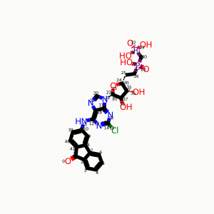 O=C1c2ccccc2-c2cc(Nc3nc(Cl)nc4c3ncn4[C@@H]3O[C@H](CCP(=O)(O)CP(=O)(O)O)[C@H](O)C3O)ccc21